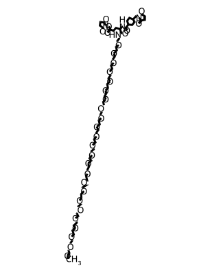 COCCOCCOCCOCCOCCOCCOCCOCCOCCOCCOCCOCCOCCOCCOCCOCCOCCOCCOCCOCCOCCOCCOCCOCCNC(=O)C(CCC(=O)ON1C(=O)CCC1=O)NC(=O)C1CCC(CN2C(=O)C=CC2=O)CC1